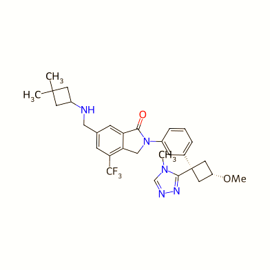 CO[C@H]1C[C@](c2cccc(N3Cc4c(cc(CNC5CC(C)(C)C5)cc4C(F)(F)F)C3=O)c2)(c2nncn2C)C1